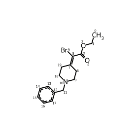 CCOC(=O)C(Br)=C1CCN(Cc2ccccc2)CC1